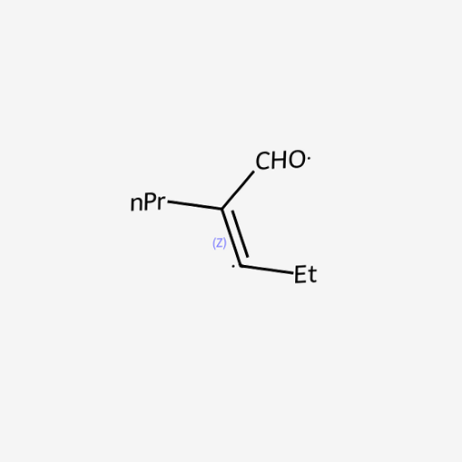 CC/[C]=C(\[C]=O)CCC